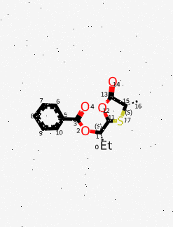 CC[C@H](OC(=O)c1ccccc1)C1OC(=O)[C@H](C)S1